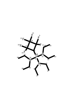 CCN(CC)[PH](C1C(F)(F)C(F)(F)C1(F)F)(N(CC)CC)N(CC)CC